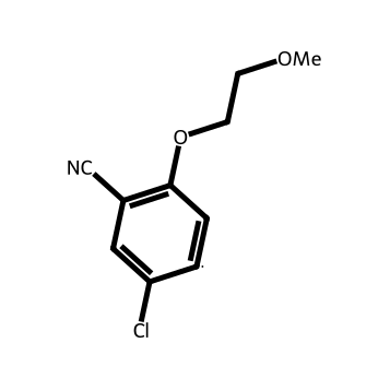 COCCOc1c[c]c(Cl)cc1C#N